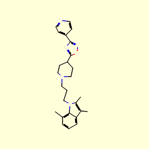 CC(=O)c1c(C)n(CCCN2CCC(c3nc(-c4ccncc4)no3)CC2)c2c(C)cccc12